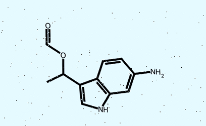 CC(OC=O)c1c[nH]c2cc(N)ccc12